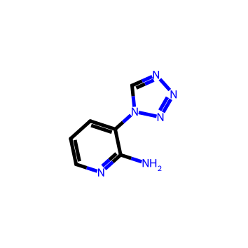 Nc1ncccc1-n1cnnn1